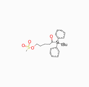 CC(C)(C)[Si](C(=O)CCCCOS(C)(=O)=O)(c1ccccc1)c1ccccc1